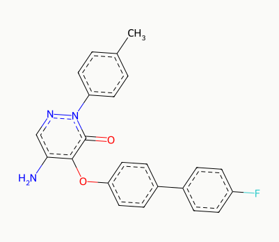 Cc1ccc(-n2ncc(N)c(Oc3ccc(-c4ccc(F)cc4)cc3)c2=O)cc1